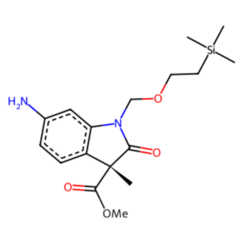 COC(=O)[C@@]1(C)C(=O)N(COCC[Si](C)(C)C)c2cc(N)ccc21